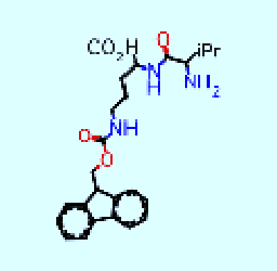 CC(C)C(N)C(=O)NC(CCCNC(=O)OCC1c2ccccc2-c2ccccc21)C(=O)O